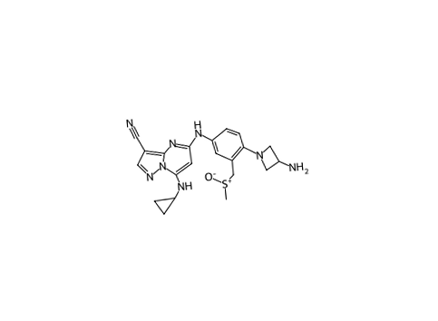 C[S+]([O-])Cc1cc(Nc2cc(NC3CC3)n3ncc(C#N)c3n2)ccc1N1CC(N)C1